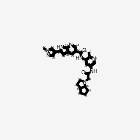 Cc1ncc(NC(=O)CN2CCC3CCCC32)cc1NC(=O)c1cnc2[nH]c(-c3cnn(C)c3)cc2c1